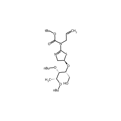 C=CCN(C(=O)OC(C)(C)C)C1=NC[C@H](O[C@H](CO)[C@@H](OCCCC)[C@@H](C)OCCCC)S1